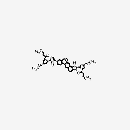 CCCC(=O)N1C[C@@H](COC)C[C@H]1c1ncc(-c2ccc3c(c2)COc2cc4c(ccc5nc([C@@H]6C[C@H](COC)CN6C(=O)CCC)[nH]c54)cc2-3)[nH]1